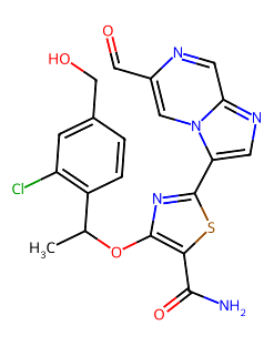 CC(Oc1nc(-c2cnc3cnc(C=O)cn23)sc1C(N)=O)c1ccc(CO)cc1Cl